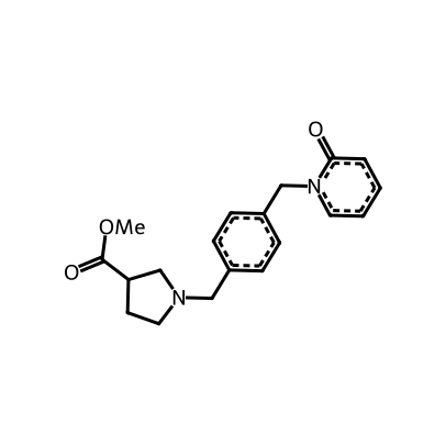 COC(=O)C1CCN(Cc2ccc(Cn3ccccc3=O)cc2)C1